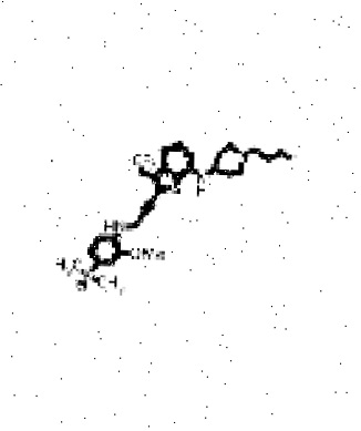 COc1cc(P(C)(C)=O)ccc1NCC#Cc1sc2c(NC3CCN(CCCF)CC3)cccc2c1CC(F)(F)F